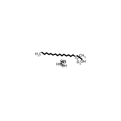 CCCCCCCCCCCCCCCCSCC(C)(C)CO.O=P(O)(O)O